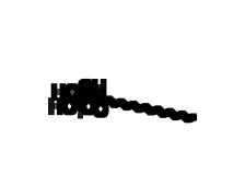 CCCCCCCCCCCCCCCC(=O)OC1O[C@H](C)[C@H](O)[C@H](O)[C@H]1O